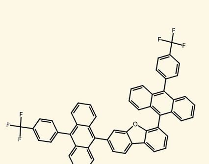 FC(F)(F)c1ccc(-c2c3ccccc3c(-c3ccc4c(c3)oc3c(-c5c6ccccc6c(-c6ccc(C(F)(F)F)cc6)c6ccccc56)cccc34)c3ccccc23)cc1